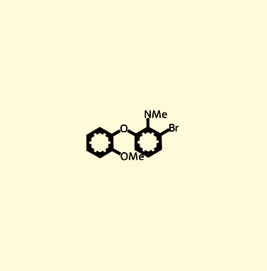 CNc1c(Br)cccc1Oc1ccccc1OC